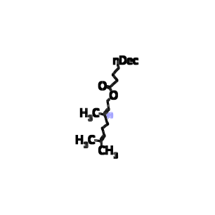 CCCCCCCCCCCCCC(=O)OC/C=C(\C)CCC=C(C)C